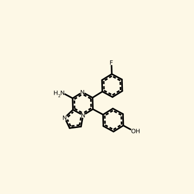 Nc1nc(-c2cccc(F)c2)c(-c2ccc(O)cc2)n2ccnc12